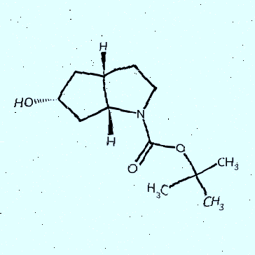 CC(C)(C)OC(=O)N1CC[C@H]2C[C@@H](O)C[C@H]21